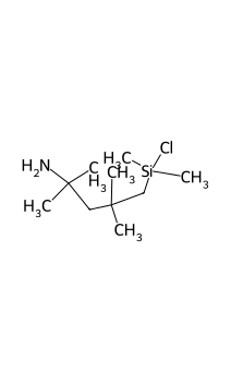 CC(C)(N)CC(C)(C)C[Si](C)(C)Cl